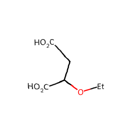 CCOC(CC(=O)O)C(=O)O